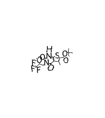 COC(Cn1c(=O)[nH]c2sc(C(=O)OC(C)(C)C)c(C)c2c1=O)C(F)(F)F